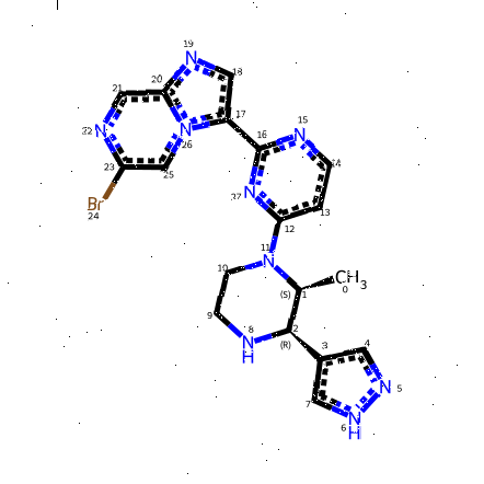 C[C@H]1[C@@H](c2cn[nH]c2)NCCN1c1ccnc(-c2cnc3cnc(Br)cn23)n1